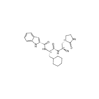 N#C[C@H](C[C@@H]1CCNC1=O)NC(=O)[C@H](CC1CCCCC1)NC(=O)c1cc2ccccc2[nH]1